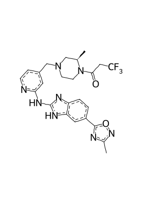 Cc1noc(-c2ccc3nc(Nc4cc(CN5CCN(C(=O)CC(F)(F)F)[C@H](C)C5)ccn4)[nH]c3c2)n1